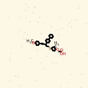 COc1ccc(C#CC(=CCSc2ccc(OCC(=O)O)c(C)c2)c2ccc(-c3ccccc3)cc2)cc1